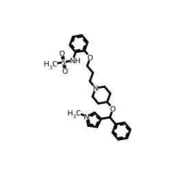 Cn1ccc(C(OC2CCN(CCCOc3ccccc3NS(C)(=O)=O)CC2)c2ccccc2)c1